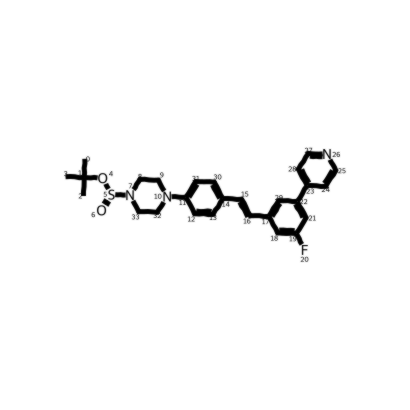 CC(C)(C)OS(=O)N1CCN(c2ccc(/C=C/c3cc(F)cc(-c4ccncc4)c3)cc2)CC1